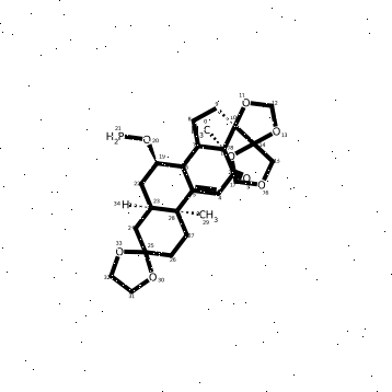 C[C@]12C(=O)C=C3C(C1CC[C@@]21OCOC12COCO2)[C@H](OP)C[C@@H]1CC2(CC[C@]31C)OCCO2